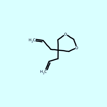 C=CCC1(CC=C)COCOC1